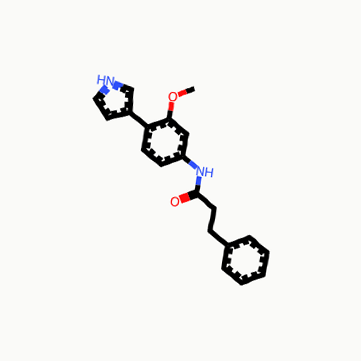 COc1cc(NC(=O)CCc2ccccc2)ccc1-c1cc[nH]c1